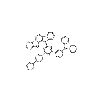 c1ccc(-c2ccc(-c3nc(-c4cccc(-n5c6ccccc6c6ccccc65)c4)nc(-n4c5ccccc5c5ccc6c7ccccc7oc6c54)n3)cc2)cc1